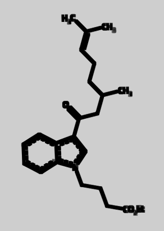 CCOC(=O)CCCn1cc(C(=O)CC(C)CCC=C(C)C)c2ccccc21